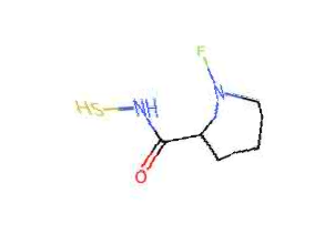 O=C(NS)C1CCCN1F